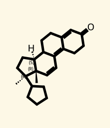 C[C@]12C=CC3=C4CCC(=O)C=C4CCC3[C@@H]1CC[C@]2(C)C1CCCC1